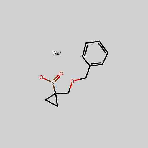 O=S([O-])C1(COCc2ccccc2)CC1.[Na+]